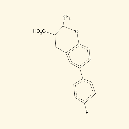 O=C(O)C1Cc2cc(-c3ccc(F)cc3)ccc2OC1C(F)(F)F